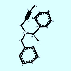 CC#CCN(Cc1ccccc1)[C@H](C)c1ccccc1